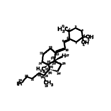 C=C1CCC(O)(O)CC1=CC=C1CCC[C@]2(C)[C@@H]([C@H](C)CCCC(C)C)CC[C@@H]12